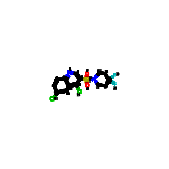 O=S(=O)(c1cnc2ccc(Cl)cc2c1Cl)N1CCC(F)(F)CC1